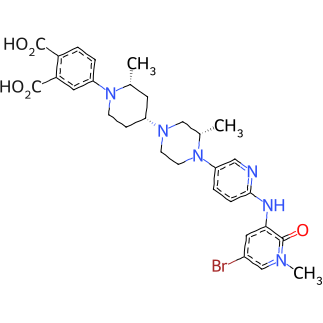 C[C@@H]1C[C@H](N2CCN(c3ccc(Nc4cc(Br)cn(C)c4=O)nc3)[C@@H](C)C2)CCN1c1ccc(C(=O)O)c(C(=O)O)c1